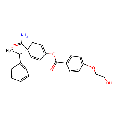 CC(c1ccccc1)[C@@]1(C(N)=O)C=CC(OC(=O)c2ccc(OCCO)cc2)=CC1